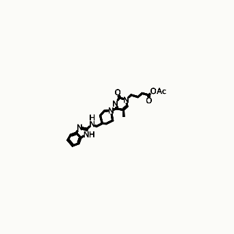 CC(=O)OC(=O)CCCn1cc(C)c(N2CCC(CNc3nc4ccccc4[nH]3)CC2)nc1=O